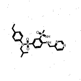 CCc1ccc(N(CC(C)C)S(=O)(=O)c2ccc(NCc3ccncn3)c(S(C)(=N)=O)c2)cc1